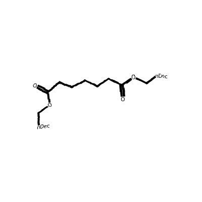 CCCCCCCCCCCOC(=O)CCCCCC(=O)OCCCCCCCCCCC